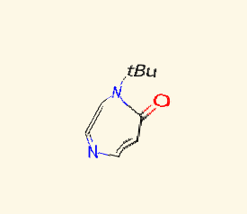 CC(C)(C)N1C=C=NC=CC1=O